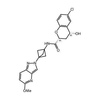 COc1ccc2nn(C34CC(NC(=O)[C@H]5C[C@@H](O)c6cc(Cl)ccc6O5)(C3)C4)cc2n1